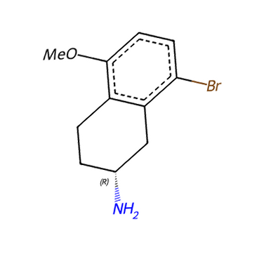 COc1ccc(Br)c2c1CC[C@@H](N)C2